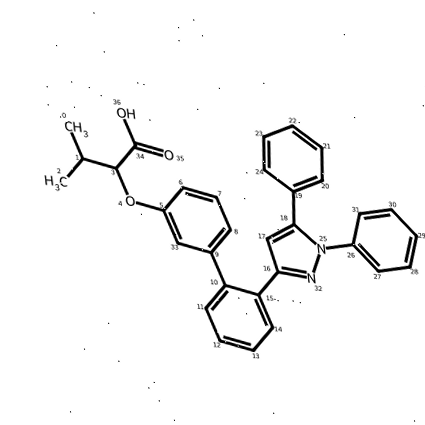 CC(C)C(Oc1cccc(-c2ccccc2-c2cc(-c3ccccc3)n(-c3ccccc3)n2)c1)C(=O)O